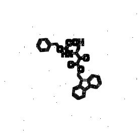 O=C(N[C@@H](CO)C(=O)C(=O)OCC1c2ccccc2-c2ccccc21)OCc1ccccc1